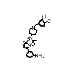 CC(=O)N(Sc1nc(-c2cccc(N)c2)cs1)C1CCN(Cc2ccc(Cl)c(Cl)c2)CC1